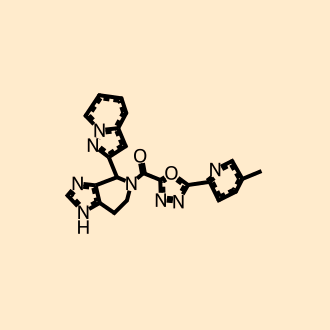 Cc1ccc(-c2nnc(C(=O)N3CCc4[nH]cnc4C3c3cc4ccccn4n3)o2)nc1